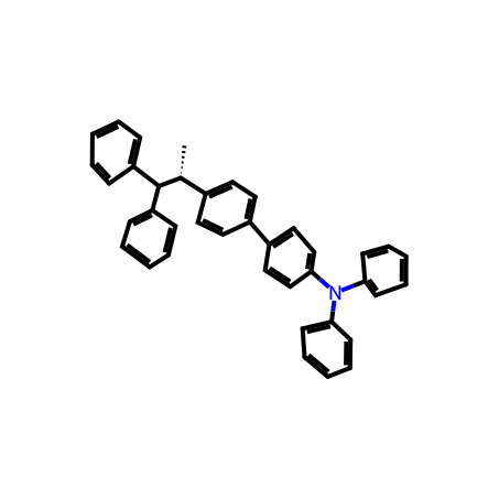 C[C@H](c1ccc(-c2ccc(N(c3ccccc3)c3ccccc3)cc2)cc1)C(c1ccccc1)c1ccccc1